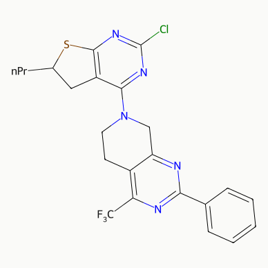 CCCC1Cc2c(nc(Cl)nc2N2CCc3c(nc(-c4ccccc4)nc3C(F)(F)F)C2)S1